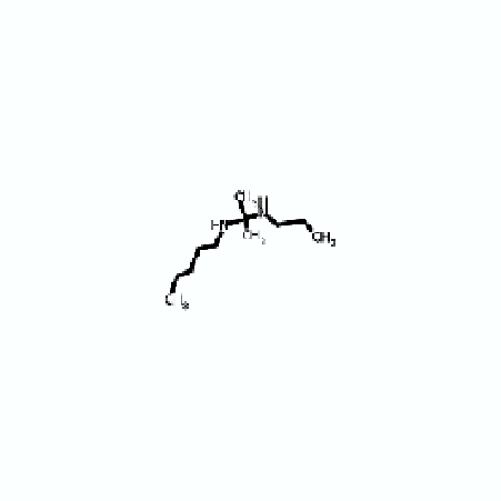 CCCCCNC(C)(C)NCCC